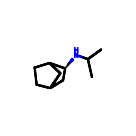 CC(C)N[C@@H]1CC2CCC1C2